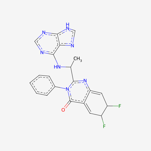 CC(Nc1ncnc2[nH]cnc12)c1nc2c(c(=O)n1-c1ccccc1)=CC(F)C(F)C=2